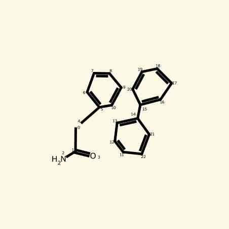 CC(N)=O.Cc1ccccc1.c1ccc(-c2ccccc2)cc1